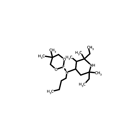 CCCCN(C1CC(C)(CC)NC(C)(CC)C1C)P1OCC(C)(C)CO1